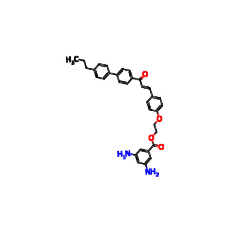 CCCc1ccc(-c2ccc(C(=O)C=Cc3ccc(OCCOC(=O)c4cc(N)cc(N)c4)cc3)cc2)cc1